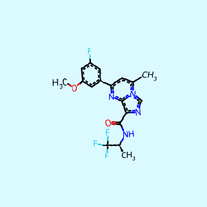 COc1cc(F)cc(-c2cc(C)n3cnc(C(=O)N[C@@H](C)C(F)(F)F)c3n2)c1